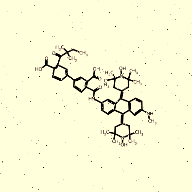 CCC(C)(C)C(=O)c1cc(-c2ccc(C(=O)Nc3ccc4c(=C5CC(C)(C)N(O)C(C)(C)C5)c5cc(NC)ccc5c(=C5CC(C)(C)N(O)C(C)(C)C5)c4c3)c(C(=O)O)c2)ccc1C(=O)O